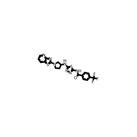 O=C(Nc1nnc(NC2CCN(c3nc4ncccc4s3)C2)s1)c1ccc(C(F)(F)F)cc1